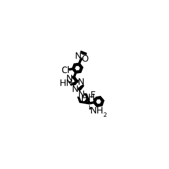 NC[C@]1(c2ccccc2F)[C@@H]2CCN(c3cnc4c(-c5ccc(-c6ncco6)cc5Cl)n[nH]c4n3)C[C@@H]21